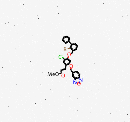 COC(=O)/C=C/c1cc(Cl)c(OCc2cccc(-c3ccccc3)c2Br)cc1OCc1ccc2nonc2c1